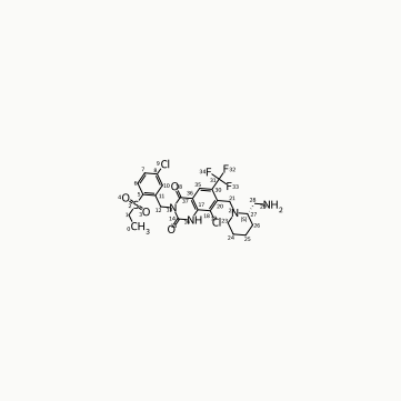 CCS(=O)(=O)c1ccc(Cl)cc1Cn1c(=O)[nH]c2c(Cl)c(CN3CCCC[C@H]3CN)c(C(F)(F)F)cc2c1=O